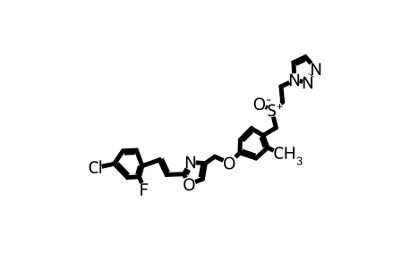 Cc1cc(OCc2coc(C=Cc3ccc(Cl)cc3F)n2)ccc1C[S+]([O-])CCn1ccnn1